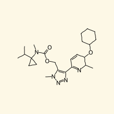 CC1N=C(c2nnn(C)c2COC(=O)N(C)C2(C(C)C)CC2)C=CC1OC1CCCCC1